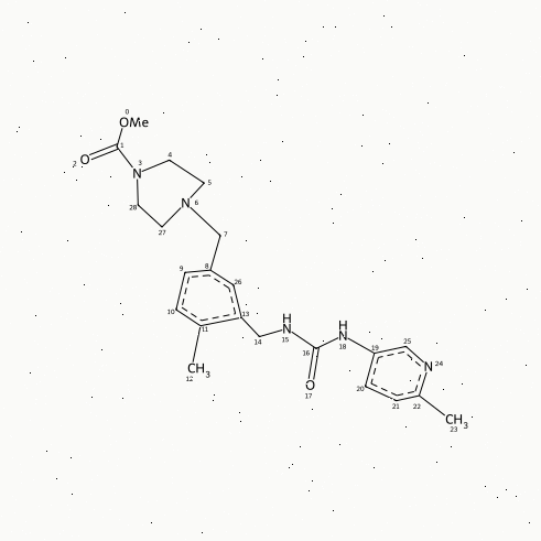 COC(=O)N1CCN(Cc2ccc(C)c(CNC(=O)Nc3ccc(C)nc3)c2)CC1